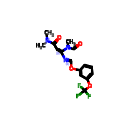 CN(C)C(=O)/C=C(/N=C/Oc1cccc(OC(F)(F)F)c1)N(C)C=O